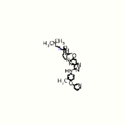 Cc1cc(Nc2ncnc3cc4c(nc23)N2CCN(C(=O)/C=C/CN(C)C)[C@@H](CO4)C2)ccc1Oc1cccnc1